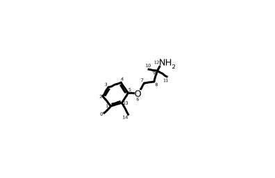 Cc1cccc(OCCC(C)(C)N)c1C